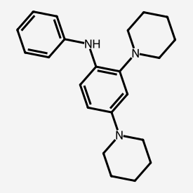 c1ccc(Nc2ccc(N3CCCCC3)cc2N2CCCCC2)cc1